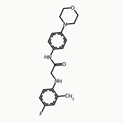 Cc1cc(F)ccc1NCC(=O)Nc1ccc(N2CCOCC2)cc1